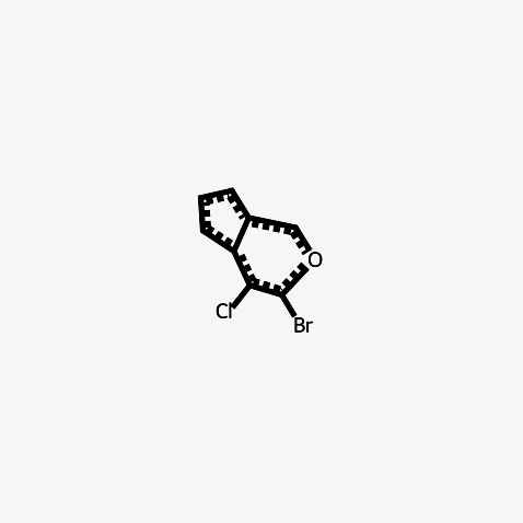 Clc1c2cccc-2coc1Br